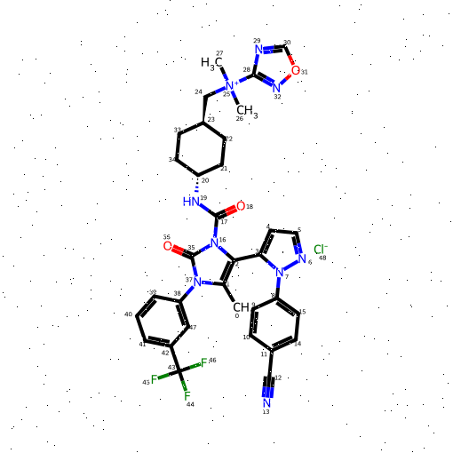 Cc1c(-c2ccnn2-c2ccc(C#N)cc2)n(C(=O)N[C@H]2CC[C@H](C[N+](C)(C)c3ncon3)CC2)c(=O)n1-c1cccc(C(F)(F)F)c1.[Cl-]